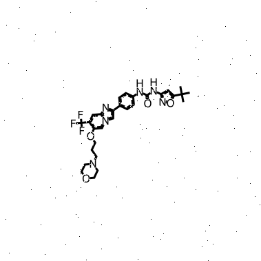 CC(C)(C)c1cc(NC(=O)Nc2ccc(-c3cn4cc(OCCCN5CCOCC5)c(C(F)(F)F)cc4n3)cc2)no1